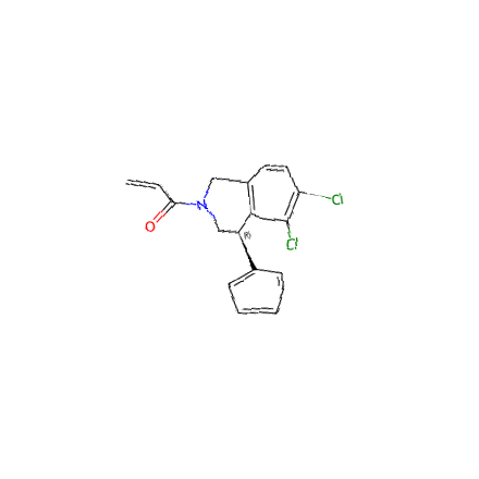 C=CC(=O)N1Cc2ccc(Cl)c(Cl)c2[C@@H](c2ccccc2)C1